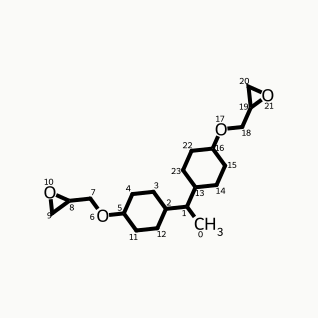 CC(C1CCC(OCC2CO2)CC1)C1CCC(OCC2CO2)CC1